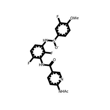 COc1ccc([S+]([O-])Nc2ccc(F)c(NC(=O)c3ccc(NC(C)=O)nc3)c2F)cc1F